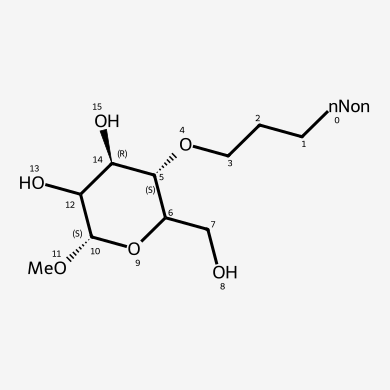 CCCCCCCCCCCCO[C@@H]1C(CO)O[C@H](OC)C(O)[C@H]1O